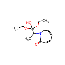 CCO[Si](O)(OCC)C(C)N1CC=CC=CC1=O